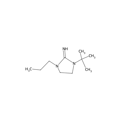 CCCN1CCN(C(C)(C)C)C1=N